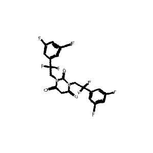 O=C1CC(=O)N(CC(F)(F)c2cc(F)cc(F)c2)C(=O)N1CC(F)(F)c1cc(F)cc(F)c1